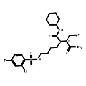 CC(C)C[C@@H](C(N)=O)N(CCCCNS(=O)(=O)c1ccc(F)cc1Cl)C(=O)NC1CCCCC1